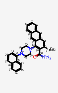 CCCCc1cc2cc3ccccc3cc2c(N2CCN(c3cccc4ccccc34)CC2)c1C(N)=O